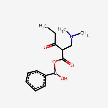 CCC(=O)C(CN(C)C)C(=O)OB(O)c1ccccc1